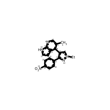 CCn1cc(-c2c(C)cnc3[nH]ccc23)c(-c2ccc([N+](=O)[O-])cc2)n1